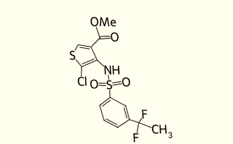 COC(=O)c1csc(Cl)c1NS(=O)(=O)c1cccc(C(C)(F)F)c1